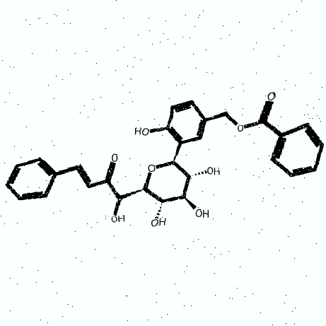 O=C(OCc1ccc(O)c([C@@H]2O[C@H](C(O)C(=O)/C=C/c3ccccc3)[C@@H](O)[C@H](O)[C@H]2O)c1)c1ccccc1